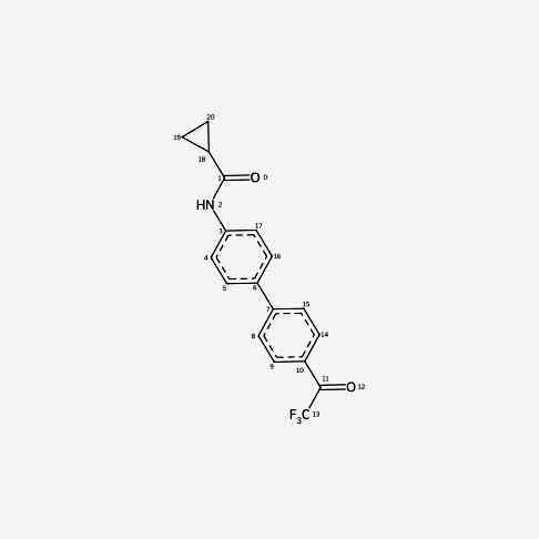 O=C(Nc1ccc(-c2ccc(C(=O)C(F)(F)F)cc2)cc1)C1CC1